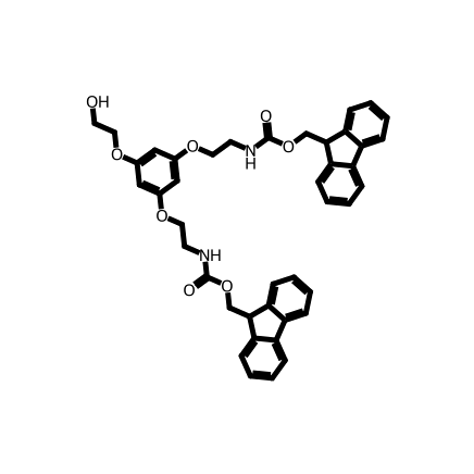 O=C(NCCOc1cc(OCCO)cc(OCCNC(=O)OCC2c3ccccc3-c3ccccc32)c1)OCC1c2ccccc2-c2ccccc21